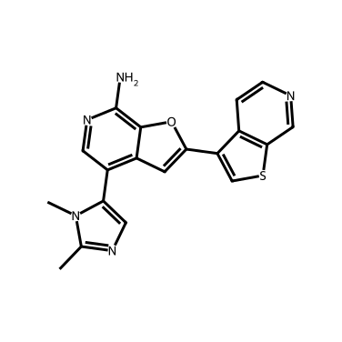 Cc1ncc(-c2cnc(N)c3oc(-c4csc5cnccc45)cc23)n1C